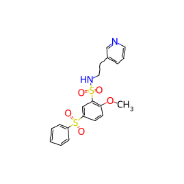 COc1ccc(S(=O)(=O)c2ccccc2)cc1S(=O)(=O)NCCc1cccnc1